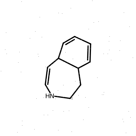 [C]1CC2C=CC=CC2C=CN1